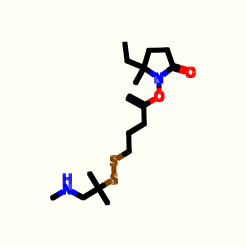 C=C(CCCSSC(C)(C)CNC)ON1C(=O)CCC1(C)CC